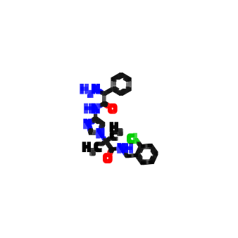 CC(C)(C(=O)NCc1ccccc1Cl)n1cnc(NC(=O)[C@@H](N)c2ccccc2)c1